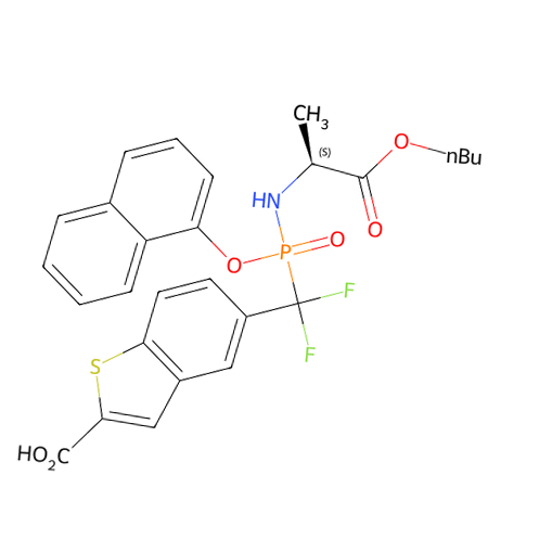 CCCCOC(=O)[C@H](C)NP(=O)(Oc1cccc2ccccc12)C(F)(F)c1ccc2sc(C(=O)O)cc2c1